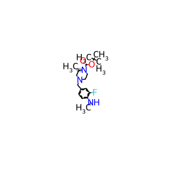 CNc1ccc(CN2CCN(C(=O)OC(C)(C)C)[C@@H](C)C2)cc1F